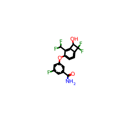 NC(=O)c1cc(F)cc(OC2=C=C=C3C(=C2C(F)F)C(O)C3(F)F)c1